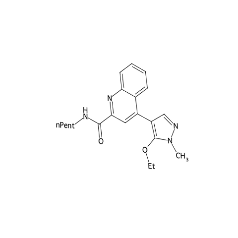 CCCCCNC(=O)c1cc(-c2cnn(C)c2OCC)c2ccccc2n1